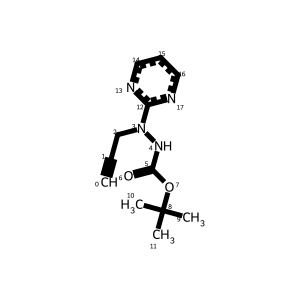 C#CCN(NC(=O)OC(C)(C)C)c1ncccn1